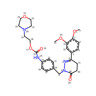 COc1ccc(C2=NN(Cc3ccc(NC(=O)OCCN4CCOCC4)cc3)C(=O)CC2)cc1OC